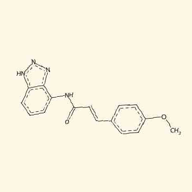 COc1ccc(C=CC(=O)Nc2cccc3[nH]nnc23)cc1